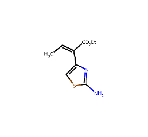 C/C=C(/C(=O)OCC)c1csc(N)n1